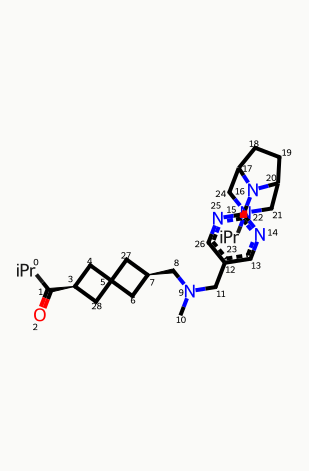 CC(C)C(=O)[C@H]1CC2(C[C@H](CN(C)Cc3cnc(N4C5CCC4CN(C(C)C)C5)nc3)C2)C1